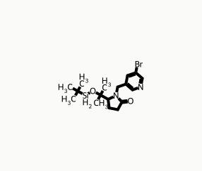 CC(C)(C)[SiH2]OC(C)(C)C1CCC(=O)N1Cc1cncc(Br)c1